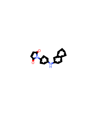 O=C1C=CC(=O)N1c1ccc(Nc2ccc3ccccc3c2)cc1